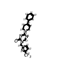 O=c1nc(N2CC=C(c3ccccc3)CC2)ncn1Cn1ccc(C(F)(F)F)n1